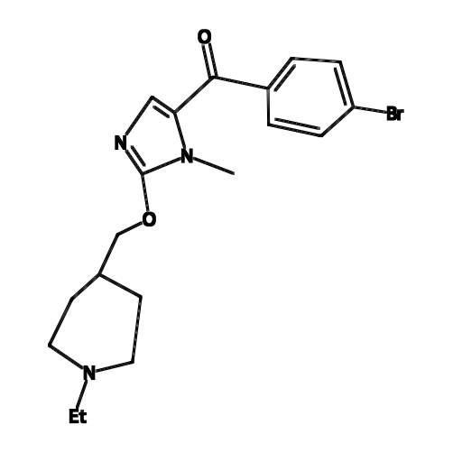 CCN1CCC(COc2ncc(C(=O)c3ccc(Br)cc3)n2C)CC1